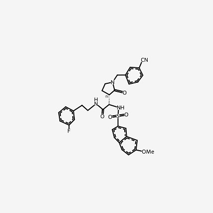 COc1ccc2ccc(S(=O)(=O)NC(C(=O)NCCc3cccc(F)c3)[C@@H]3CCN(Cc4cccc(C#N)c4)C3=O)cc2c1